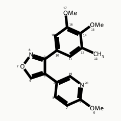 COc1ccc(-c2conc2-c2cc(C)c(OC)c(OC)c2)cn1